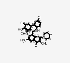 Cc1cc(C(C)Nc2ccc(Cl)nc2-c2cc(Cl)c(O)c(C=O)c2)c2oc(N3CCCCC3)c(C)c(=O)c2c1